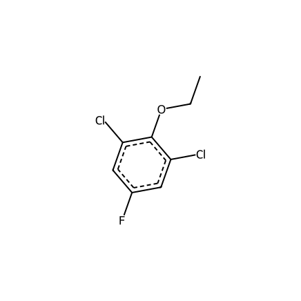 CCOc1c(Cl)cc(F)cc1Cl